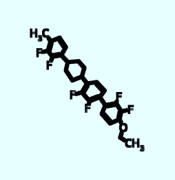 CCOc1ccc(-c2ccc(C3CCC(c4ccc(C)c(F)c4F)CC3)c(F)c2F)c(F)c1F